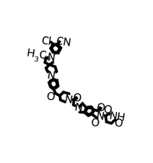 C[C@H]1CC2(CCN(c3ccc(C(=O)C4CCN(C(=O)CN5Cc6cc7c(cc6C5)C(=O)N(C5CCC(=O)NC5=O)C7=O)CC4)cc3)CC2)CN1c1ccc(C#N)c(Cl)c1